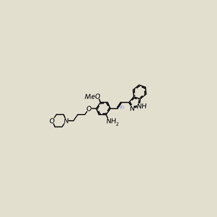 COc1cc(/C=C/c2n[nH]c3ccccc23)c(N)cc1OCCCN1CCOCC1